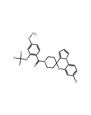 COc1ccc(C(=O)N2CCC3(CC2)Oc2cc(Cl)ccc2-n2cccc23)c(OC(F)(F)F)c1